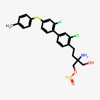 Cc1ccc(Sc2ccc(-c3ccc(CCC(N)(CO)CO[PH2]=O)c(Cl)c3)c(F)c2)cc1